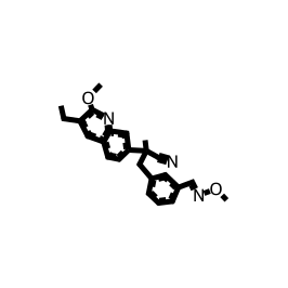 CCc1cc2ccc(C(C)(C#N)Cc3cccc(/C=N/OC)c3)cc2nc1OC